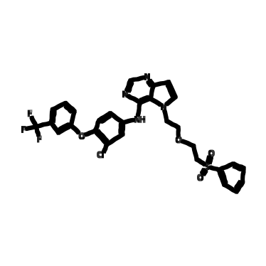 O=S(=O)(CCOCCn1ccc2ncnc(Nc3ccc(Oc4cccc(C(F)(F)F)c4)c(Cl)c3)c21)c1ccccc1